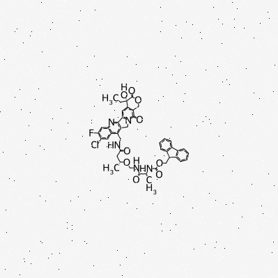 CC[C@@]1(O)C(=O)OCc2c1cc1n(c2=O)Cc2c-1nc1cc(F)c(Cl)cc1c2CNC(=O)C[C@@H](C)OCNC(=O)[C@H](C)NC(=O)OCC1c2ccccc2-c2ccccc21